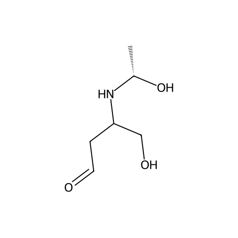 C[C@H](O)NC(CO)CC=O